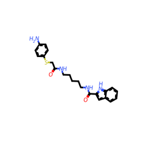 Nc1ccc(SCC(=O)NCCCCCNC(=O)c2cc3ccccc3[nH]2)cc1